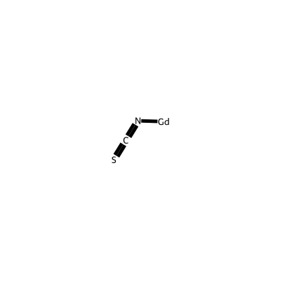 S=C=[N][Gd]